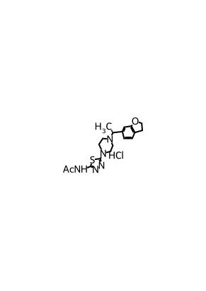 CC(=O)Nc1nnc(N2CCN([C@@H](C)c3ccc4c(c3)OCC4)CC2)s1.Cl